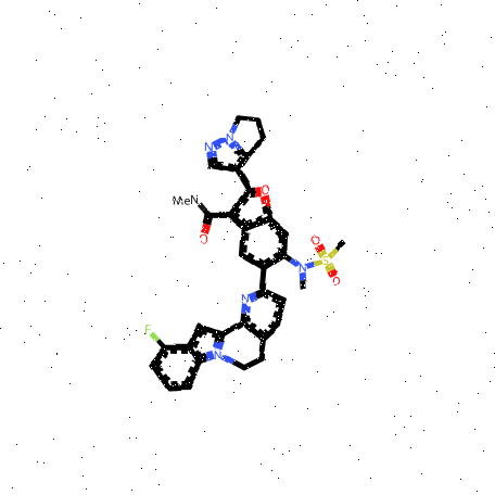 CNC(=O)c1c(-c2cnn3c2CCC3)oc2cc(N(C)S(C)(=O)=O)c(-c3ccc4c(n3)-c3cc5c(F)cccc5n3CC4)cc12